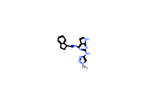 Cn1cc(Nc2nc([N+]#CC3CCc4ccccc43)c3cc[nH]c3n2)nn1